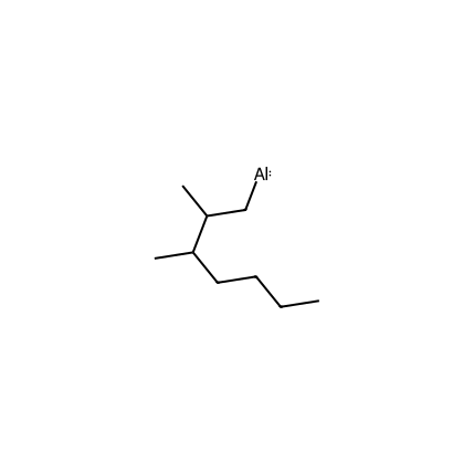 CCCCC(C)C(C)[CH2][Al]